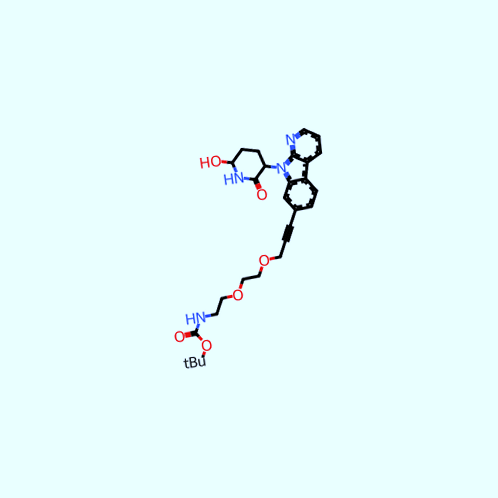 CC(C)(C)OC(=O)NCCOCCOCC#Cc1ccc2c3cccnc3n(C3CCC(O)NC3=O)c2c1